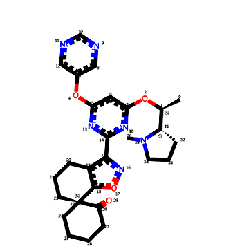 C[C@H](Oc1cc(Oc2cncnc2)nc(-c2noc3c2CCC[C@@]32CCCCC2=O)n1)[C@@H]1CCCN1C